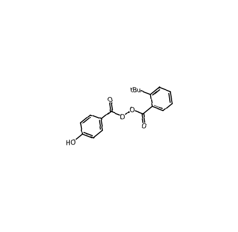 CC(C)(C)c1ccccc1C(=O)OOC(=O)c1ccc(O)cc1